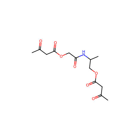 CC(=O)CC(=O)OCC(=O)NC(C)COC(=O)CC(C)=O